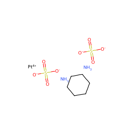 C1CCCCC1.N.N.O=S(=O)([O-])[O-].O=S(=O)([O-])[O-].[Pt+4]